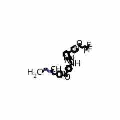 C=C/C=C\C=C(/C)CC1CCN(C(=O)c2ccc(Nc3nc4c(C5=CCN(C(=O)CCC(F)(F)F)CC5)cccn4n3)cc2)CC1